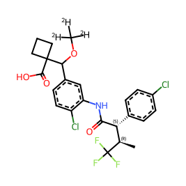 [2H]C([2H])([2H])OC(c1ccc(Cl)c(NC(=O)[C@H](c2ccc(Cl)cc2)[C@@H](C)C(F)(F)F)c1)C1(C(=O)O)CCC1